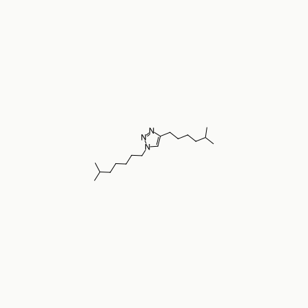 CC(C)CCCCCn1cc(CCCCC(C)C)nn1